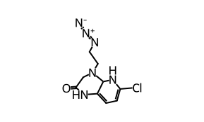 [N-]=[N+]=NCCN1CC(=O)NC2=CC=C(Cl)NC21